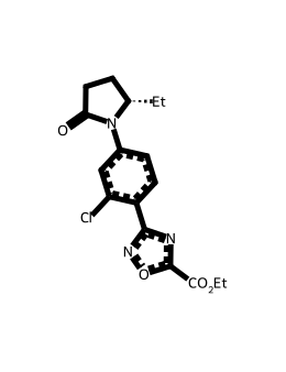 CCOC(=O)c1nc(-c2ccc(N3C(=O)CC[C@@H]3CC)cc2Cl)no1